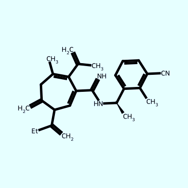 C=C(C)C1=C(C)CC(=C)C(C(=C)CC)C=C1C(=N)N[C@H](C)c1cccc(C#N)c1C